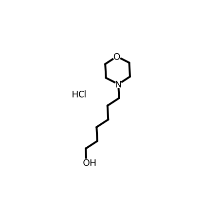 Cl.OCCCCCCN1CCOCC1